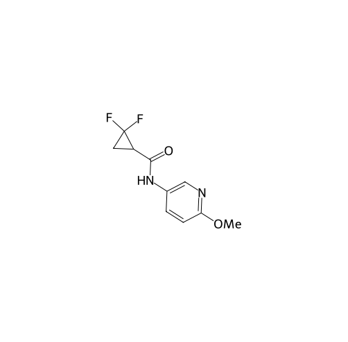 COc1ccc(NC(=O)C2CC2(F)F)cn1